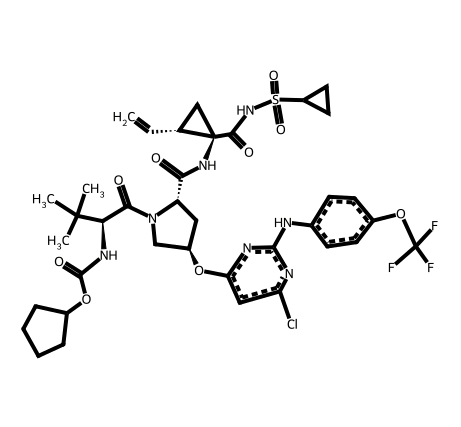 C=C[C@@H]1C[C@]1(NC(=O)[C@@H]1C[C@@H](Oc2cc(Cl)nc(Nc3ccc(OC(F)(F)F)cc3)n2)CN1C(=O)[C@@H](NC(=O)OC1CCCC1)C(C)(C)C)C(=O)NS(=O)(=O)C1CC1